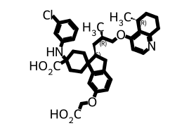 C[C@@H](COc1ccnc2c1[C@H](C)CCC2)C[C@H]1Cc2ccc(OCC(=O)O)cc2C12CCC(Nc1cccc(Cl)c1)(C(=O)O)CC2